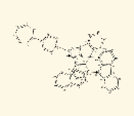 C1=CC=C(c2ccc(-c3nc4c(c(-c5cccc6ccccc56)n3)C3(c5ccccc5-4)c4ccccc4-n4c5ccccc5c5cccc3c54)cc2)CC=C1